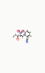 CCC(=O)C(=Cc1ccccc1C#N)[N+](=O)[O-]